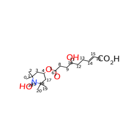 CC1(C)CC(OC(=O)CCC(O)CC/C=C/C(=O)O)CC(C)(C)N1O